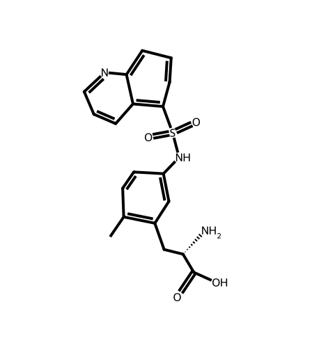 Cc1ccc(NS(=O)(=O)c2cccc3ncccc23)cc1C[C@H](N)C(=O)O